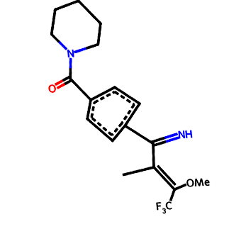 CO/C(=C(/C)C(=N)c1ccc(C(=O)N2CCCCC2)cc1)C(F)(F)F